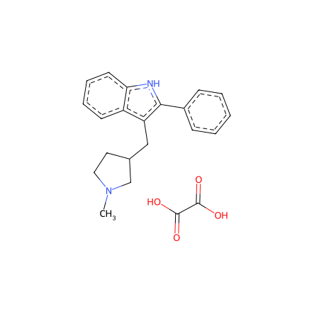 CN1CCC(Cc2c(-c3ccccc3)[nH]c3ccccc23)C1.O=C(O)C(=O)O